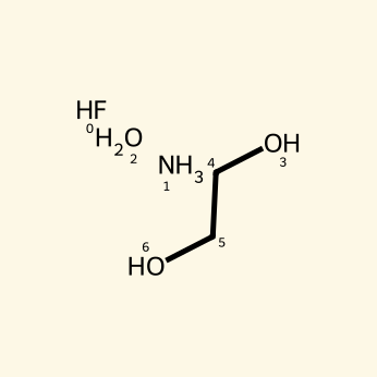 F.N.O.OCCO